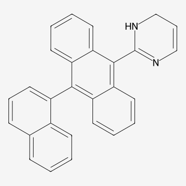 C1=CN=C(c2c3ccccc3c(-c3cccc4ccccc34)c3ccccc23)NC1